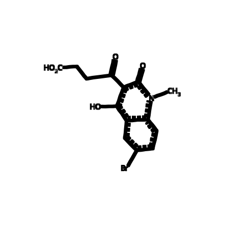 Cn1c(=O)c(C(=O)CCC(=O)O)c(O)c2cc(Br)ccc21